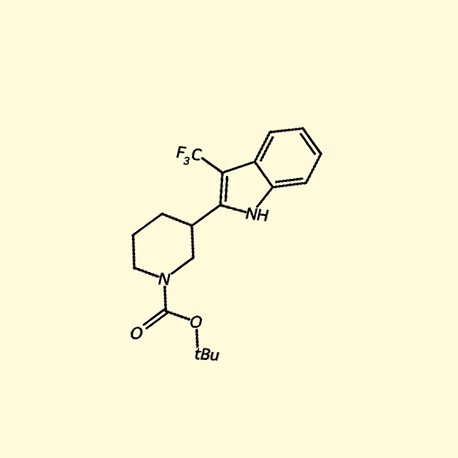 CC(C)(C)OC(=O)N1CCCC(c2[nH]c3ccccc3c2C(F)(F)F)C1